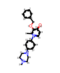 Cc1c(OCc2ccccc2)c(=O)ccn1-c1ccc(N2CCN(C)CC2)cc1